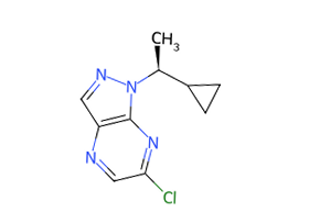 C[C@@H](C1CC1)n1ncc2ncc(Cl)nc21